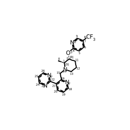 C[C@H]1[C@H](Oc2ccc(C(F)(F)F)cn2)CCCN1Cc1ncccc1-c1ncccn1